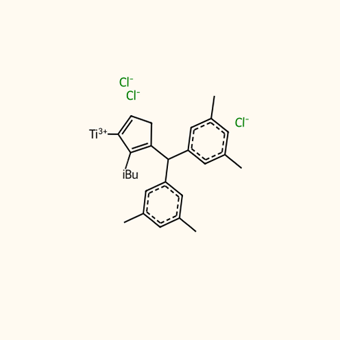 CCC(C)C1=C(C(c2cc(C)cc(C)c2)c2cc(C)cc(C)c2)CC=[C]1[Ti+3].[Cl-].[Cl-].[Cl-]